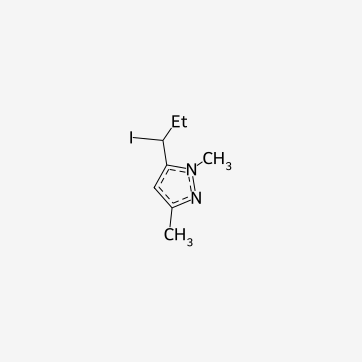 CCC(I)c1cc(C)nn1C